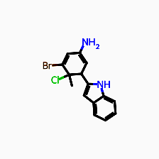 CC1(Cl)C(Br)=CC(N)=CC1c1cc2ccccc2[nH]1